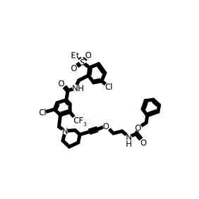 CCS(=O)(=O)c1ccc(Cl)cc1CNC(=O)c1cc(Cl)c(CN2CCCC(C#COCCNC(=O)OCc3ccccc3)C2)c(C(F)(F)F)c1